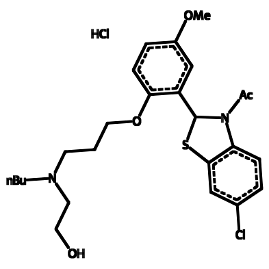 CCCCN(CCO)CCCOc1ccc(OC)cc1C1Sc2cc(Cl)ccc2N1C(C)=O.Cl